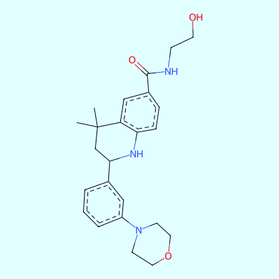 CC1(C)CC(c2cccc(N3CCOCC3)c2)Nc2ccc(C(=O)NCCO)cc21